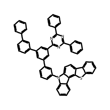 c1ccc(-c2cccc(-c3cc(-c4cccc(-n5c6ccccc6c6c7sc8ccccc8c7ccc65)c4)cc(-c4nc(-c5ccccc5)nc(-c5ccccc5)n4)c3)c2)cc1